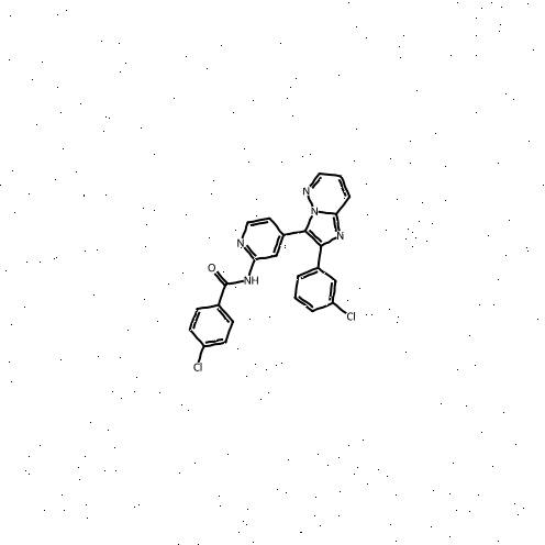 O=C(Nc1cc(-c2c(-c3cccc(Cl)c3)nc3cccnn23)ccn1)c1ccc(Cl)cc1